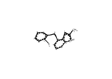 Cc1cc2c(Cc3ccccc3F)cccc2[nH]1